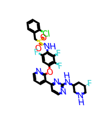 O=S(=O)(Cc1ccccc1Cl)Nc1c(F)cc(Oc2ncccc2-c2ccnc(NC3CNC[C@@H](F)C3)n2)c(F)c1F